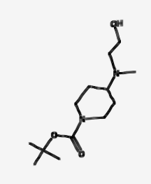 CN(CCO)C1CCN(C(=O)OC(C)(C)C)CC1